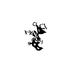 COc1c(C#N)cc2ccccc2c1COCC(c1ccc(Cl)c(Cl)c1)N1CCNCC1